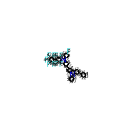 Fc1ccc(N(c2ccc(-c3ccc4c(c3)c3ccc(-c5ccccc5)cc3n4-c3ccccc3)cc2)c2c(F)c(F)c(-c3c(F)c(F)c(F)c(F)c3F)c(F)c2F)cc1